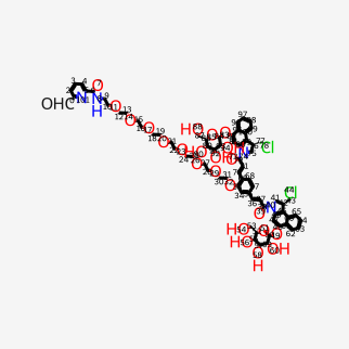 O=Cc1cccc(C(=O)NCCOCCOCCOCCOCCOCCOCCOCCOc2cc(/C=C/C(=O)N3C[C@@H](CCl)c4c3cc(O[C@@H]3O[C@H](CO)[C@H](O)[C@H](O)[C@H]3O)c3ccccc43)ccc2/C=C/C(=O)N2C[C@@H](CCl)c3c2cc(O[C@@H]2O[C@H](CO)[C@H](O)[C@H](O)[C@H]2O)c2ccccc32)n1